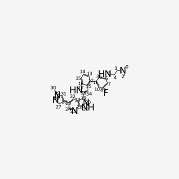 CN(C)CCNc1cc(F)cc(-c2cccc3[nH]c(-c4n[nH]c5ncc(-c6cnn(C)c6)cc45)cc23)c1